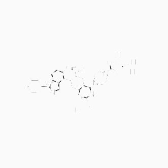 CSc1nc2c(c(N3CCN(C(=O)OC(C)(C)C)CC3)n1)CC(C)C(c1c(C)ccc3c1cnn3C1CCCCO1)C2